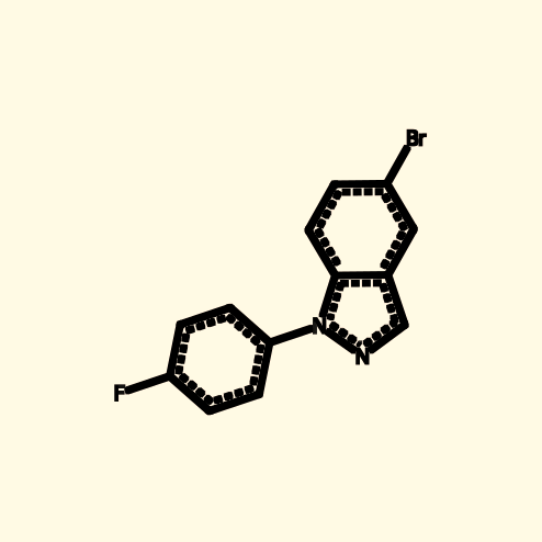 Fc1ccc(-n2ncc3cc(Br)ccc32)cc1